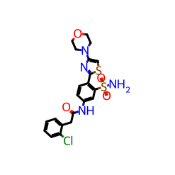 NS(=O)(=O)c1cc(NC(=O)Cc2ccccc2Cl)ccc1-c1nc(N2CCOCC2)cs1